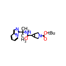 CC(C)(C)OC(=O)N1CC2C(C1)C2C(=O)NC(C)(C)c1ncc2ccccn12